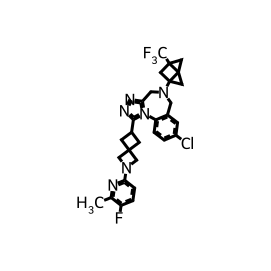 Cc1nc(N2CC3(CC(c4nnc5n4-c4ccc(Cl)cc4CN(C46CC7(C(F)(F)F)CC47C6)C5)C3)C2)ccc1F